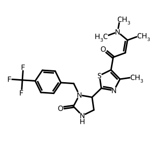 CC(=CC(=O)c1sc(C2CNC(=O)N2Cc2ccc(C(F)(F)F)cc2)nc1C)N(C)C